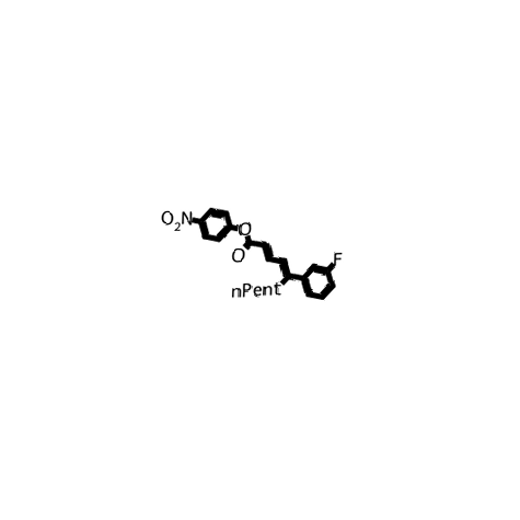 CCCCC/C(=C\C=C\C(=O)Oc1ccc([N+](=O)[O-])cc1)c1cccc(F)c1